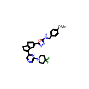 COc1ccc(CNc2nnc(-c3ccc4c(c3)C(c3cncc(N5CCC(F)(F)CC5)n3)=CC4)o2)cc1